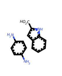 Nc1ccc(N)cc1.O=C(O)c1cc2ccccc2[nH]1